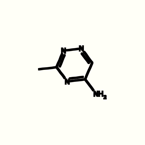 Cc1nncc(N)n1